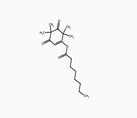 CCCCCCCC(=O)OC1=CC(=O)C(C)(C)C(=O)C1(C)C